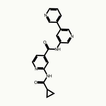 O=C(Nc1cncc(-c2cccnc2)c1)c1ccnc(NC(=O)C2CC2)c1